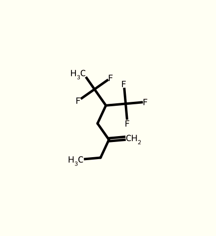 C=C(CC)CC(C(C)(F)F)C(F)(F)F